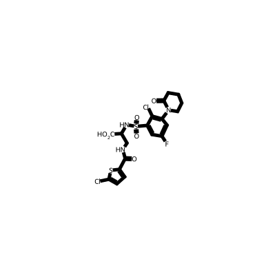 O=C(NCC(NS(=O)(=O)c1cc(F)cc(N2CCCCC2=O)c1Cl)C(=O)O)c1ccc(Cl)s1